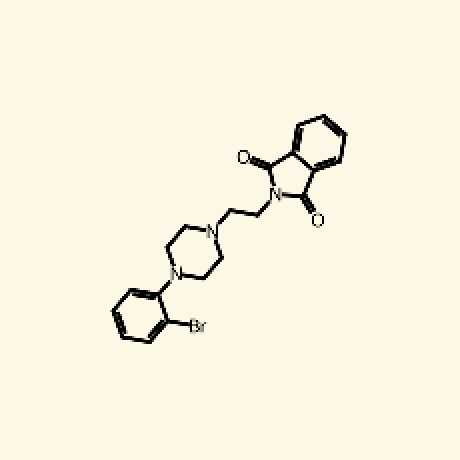 O=C1c2ccccc2C(=O)N1CCN1CCN(c2ccccc2Br)CC1